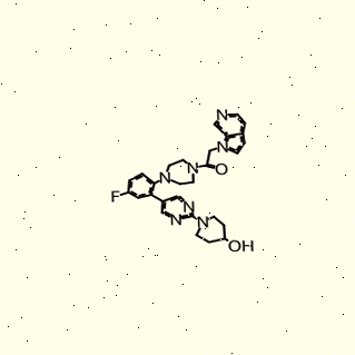 O=C(Cn1ccc2ccncc21)N1CCN(c2ccc(F)cc2-c2cnc(N3CCC(O)CC3)nc2)CC1